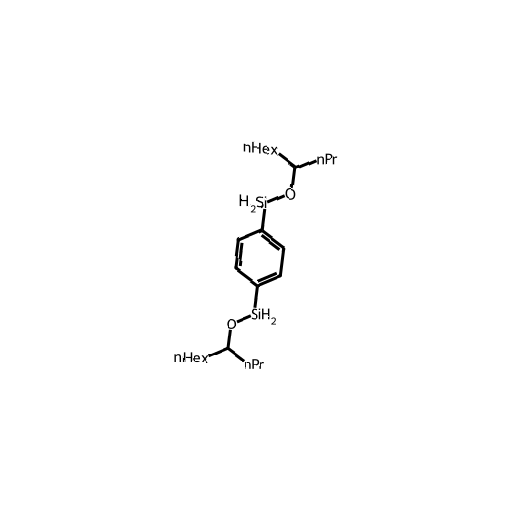 CCCCCCC(CCC)O[SiH2]c1ccc([SiH2]OC(CCC)CCCCCC)cc1